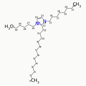 CCCCCCCCCCCCCc1n(CCCCCCCC)cc[n+]1CCCCCC